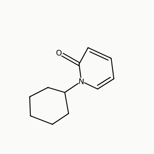 O=c1ccccn1C1CCCCC1